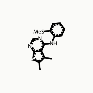 CSc1ccccc1Nc1ncnc2sc(C)c(C)c12